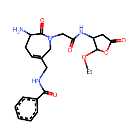 CCOC1OC(=O)CC1NC(=O)CN1CC(CNC(=O)c2ccccc2)=CCC(N)C1=O